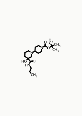 CCCNC(=O)C1(O)CCCN(C2CCN(C(=O)OC(C)(C)C)CC2)C1